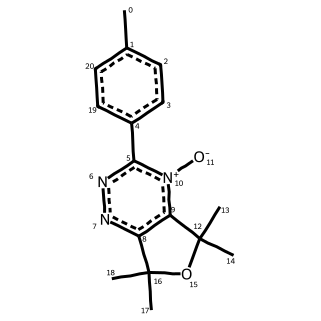 Cc1ccc(-c2nnc3c([n+]2[O-])C(C)(C)OC3(C)C)cc1